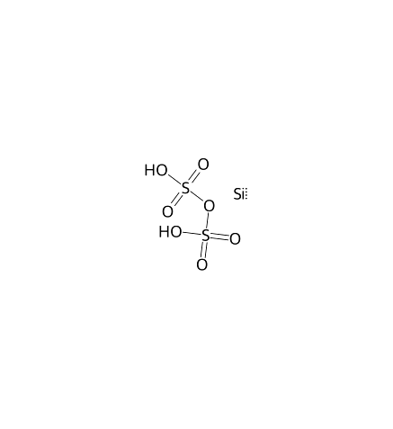 O=S(=O)(O)OS(=O)(=O)O.[Si]